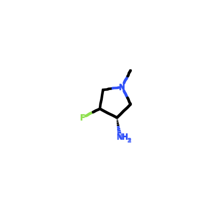 CN1CC(F)[C@@H](N)C1